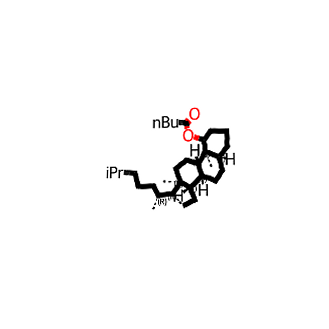 CCCCC(=O)OC1CCC[C@H]2CC[C@H]3[C@@H]4CC[C@H]([C@H](C)CCCC(C)C)[C@@]4(C)CC[C@@H]3[C@@]12C